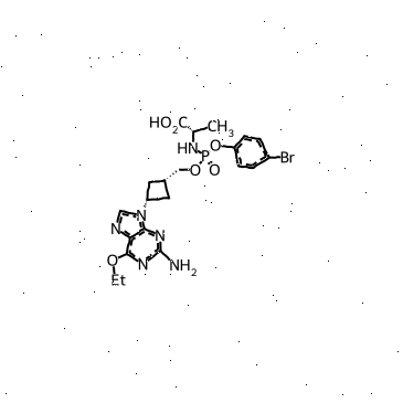 CCOc1nc(N)nc2c1ncn2[C@H]1C[C@@H](COP(=O)(N[C@@H](C)C(=O)O)Oc2ccc(Br)cc2)C1